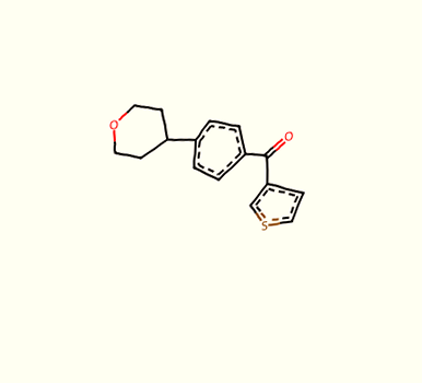 O=C(c1ccc(C2CCOCC2)cc1)c1ccsc1